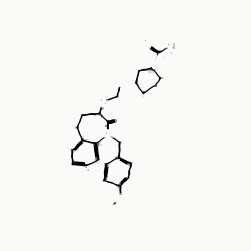 COc1ccc(CN2C(=O)C(NCC[C@H]3CCC[C@H](C(N)=O)C3)CCc3ccccc32)cc1